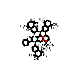 Cc1cc2c3c(c1)N(c1ccc4c(c1)C(C)(C)CCC4(C)C)c1c(oc4ccccc14)B3c1cc3c(cc1N2c1cc2c(cc1-c1ccc([Si](C)(C)C)cc1)C(C)(C)CCC2(C)C)C(C)(C)CCC3(C)C